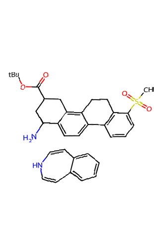 C1=Cc2ccccc2C=CN1.CC(C)(C)OC(=O)C1Cc2c(ccc3c2CCc2c-3cccc2S(C)(=O)=O)C(N)C1